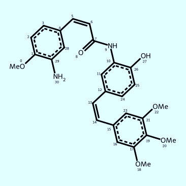 COc1ccc(/C=C\C(=O)Nc2cc(/C=C\c3cc(OC)c(OC)c(OC)c3)ccc2O)cc1N